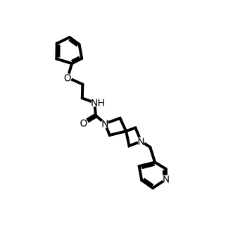 O=C(NCCOc1ccccc1)N1CC2(CN(Cc3cccnc3)C2)C1